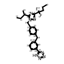 CCCC(F)(F)c1nc(C(C)CC)n(Cc2ccc(Cc3cccc(-c4nnn[nH]4)c3)cc2)n1